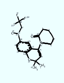 CC1(C)C=C(N2CCCCC2=O)c2cc([S+]([O-])CC(F)(F)F)ccc2O1